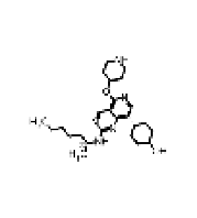 CCCCC[C@H](C)Nc1ncc2c(OC3CCNCC3)ncc([C@H]3CC[C@H](O)CC3)c2n1